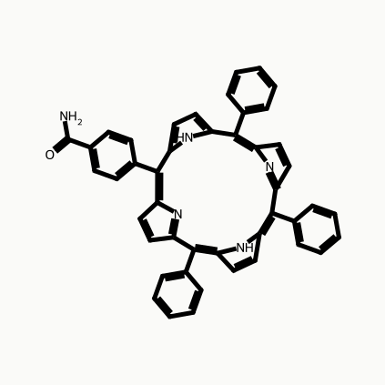 NC(=O)c1ccc(-c2c3nc(c(-c4ccccc4)c4ccc([nH]4)c(-c4ccccc4)c4nc(c(-c5ccccc5)c5ccc2[nH]5)C=C4)C=C3)cc1